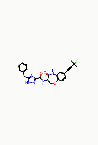 CN1C(=O)C(NC(=O)c2n[nH]c(Cc3ccccc3)n2)COc2ccc(C#CC(C)(C)Cl)cc21